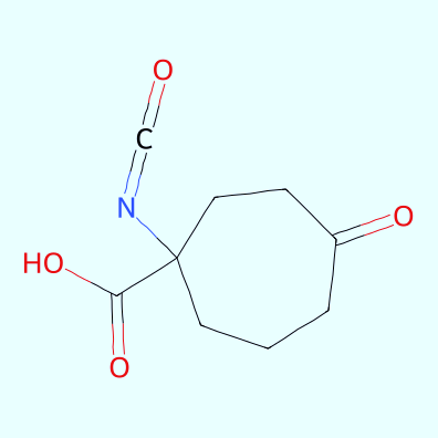 O=C=NC1(C(=O)O)CCCC(=O)CC1